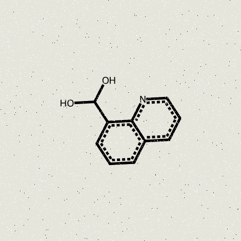 OC(O)c1cccc2cccnc12